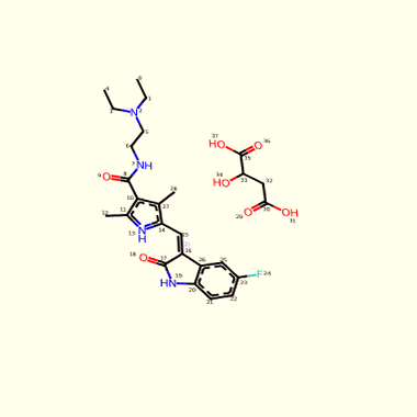 CCN(CC)CCNC(=O)c1c(C)[nH]c(/C=C2\C(=O)Nc3ccc(F)cc32)c1C.O=C(O)CC(O)C(=O)O